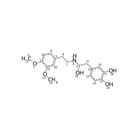 COc1ccc(CCNC(O)Cc2ccc(O)c(O)c2)cc1OC